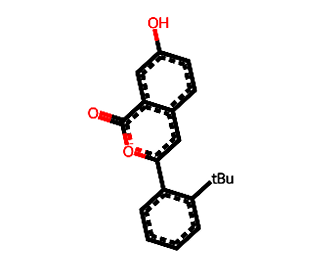 CC(C)(C)c1ccccc1-c1cc2ccc(O)cc2c(=O)o1